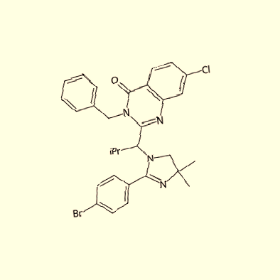 CC(C)C(c1nc2cc(Cl)ccc2c(=O)n1Cc1ccccc1)N1CC(C)(C)N=C1c1ccc(Br)cc1